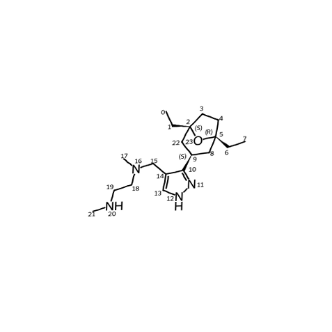 CC[C@]12CC[C@](CC)(C[C@@H](c3n[nH]cc3CN(C)CCNC)C1)O2